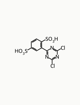 O=S(=O)(O)c1ccc(S(=O)(=O)O)c(-c2nc(Cl)nc(Cl)n2)c1